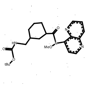 CON(C(=O)C1CCCC(CNC(=O)OC(C)(C)C)C1)c1ccnc2cccnc12